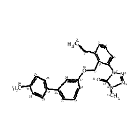 CCc1cccc(-n2nnn(C)c2=O)c1COc1cccc(-c2ccc(C)cc2)c1